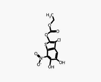 CCOC(=O)Oc1sc2c([N+](=O)[O-])c(O)c(O)cc2c1Cl